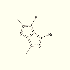 Cc1sc2c(C)sc(Br)c2c1F